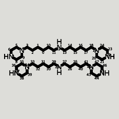 C(CCCN1CCNCC1)CCNCCCCCCN1CCNCC1.C(CCNCCCCCN1CCNCC1)CCN1CCNCC1